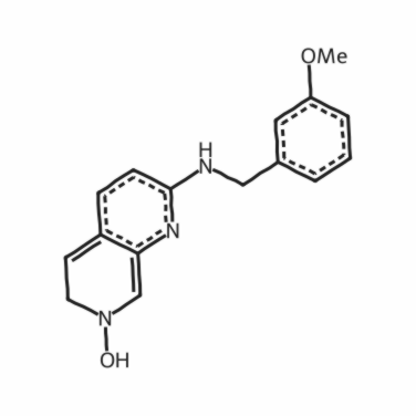 COc1cccc(CNc2ccc3c(n2)=CN(O)CC=3)c1